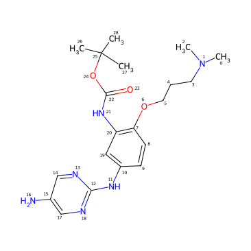 CN(C)CCCOc1ccc(Nc2ncc(N)cn2)cc1NC(=O)OC(C)(C)C